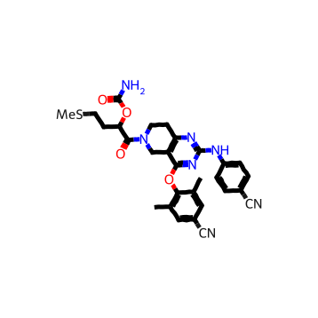 CSCCC(OC(N)=O)C(=O)N1CCc2nc(Nc3ccc(C#N)cc3)nc(Oc3c(C)cc(C#N)cc3C)c2C1